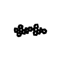 C1=CC(N(c2ccccc2)c2ccc3c(c2)Oc2ccc4c(c2O3)-c2ccccc2C4(c2ccccc2)c2ccccc2)=C(c2cccc3c2sc2ccccc23)CC1